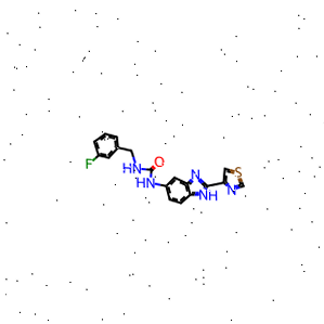 O=C(NCc1cccc(F)c1)Nc1ccc2[nH]c(-c3cscn3)nc2c1